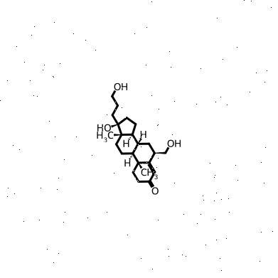 C[C@]12CCC(=O)C=C1[C@H](CO)C[C@@H]1[C@@H]2CC[C@@]2(C)[C@H]1CC[C@@]2(O)CCCO